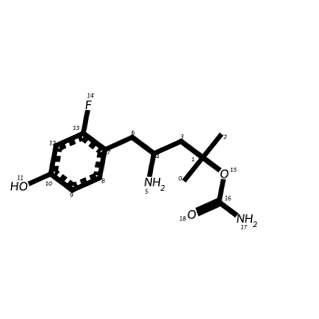 CC(C)(CC(N)Cc1ccc(O)cc1F)OC(N)=O